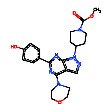 COC(=O)N1CCC(n2ncc3c(N4CCOCC4)nc(-c4ccc(O)cc4)nc32)CC1